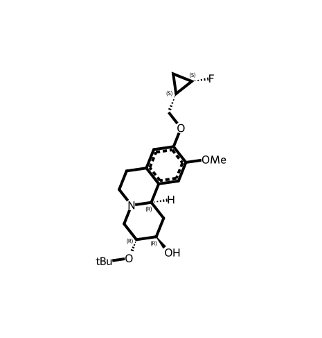 COc1cc2c(cc1OC[C@@H]1C[C@@H]1F)CCN1C[C@@H](OC(C)(C)C)[C@H](O)C[C@H]21